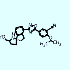 CC(C)Oc1ccc(-c2nc(-c3cccc4c3CC[C@@]43CCC(CO)N3)no2)cc1C#N